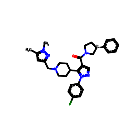 Cc1cc(CN2CCC(c3c(C(=O)N4CC[C@H](c5ccccc5)C4)cnn3-c3ccc(F)cc3)CC2)nn1C